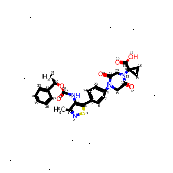 Cc1nsc(-c2ccc(N3CC(=O)N(C4(C(=O)O)CC4)CC3=O)cc2)c1NC(=O)OC(C)c1ccccc1